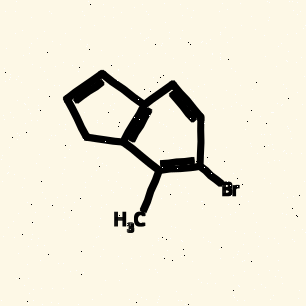 Cc1c(Br)ccc2c1CC=C2